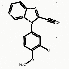 C#Cc1nc2ccccc2n1-c1ccc(OC)c(Cl)c1